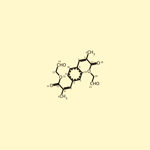 CC(=Cc1ccc(C=C(C)C(=O)OCC=O)cc1)C(=O)OCC=O